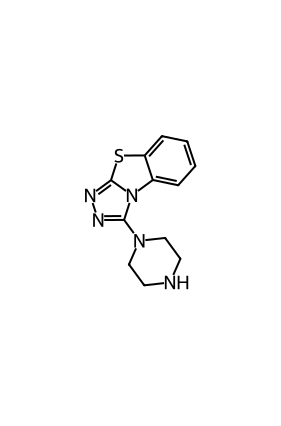 c1ccc2c(c1)sc1nnc(N3CCNCC3)n12